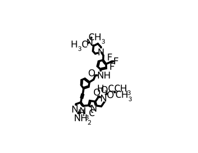 CN(C)C1CCN(Cc2ccc(NC(=O)Cc3cccc(C#Cc4cnc(N)nc4-c4cc5c(n4C)CCN(C(=O)OC(C)(C)C)C5=O)c3)cc2C(F)(F)F)CC1